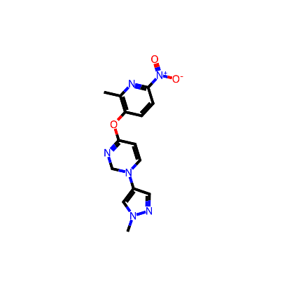 Cc1nc([N+](=O)[O-])ccc1OC1=NCN(c2cnn(C)c2)C=C1